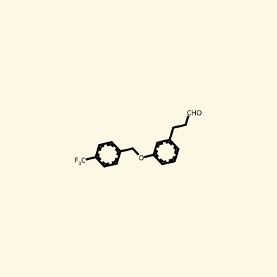 O=CCCc1cccc(OCc2ccc(C(F)(F)F)cc2)c1